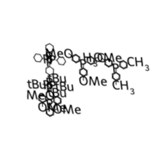 C1CCC(P2P(C3CCCCC3)P(C3CCCCC3)P2C2CCCCC2)CC1.CC(C)(C)P1P(C(C)(C)C)P(C(C)(C)C)P1C(C)(C)C.COc1ccc(P(c2ccc(OC)cc2)c2ccc(OC)cc2)cc1.COc1ccccc1P(c1ccccc1OC)c1ccccc1OC.Cc1ccc(P(c2ccc(C)cc2)c2ccc(C)cc2)cc1